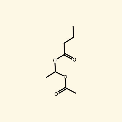 CCCC(=O)OC(C)OC(C)=O